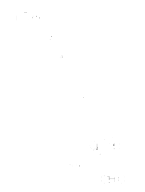 CCCCCCCCCCCCCCCCCCCCCC(=O)OC(C[C]=O)CCCCCCCCCC